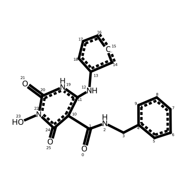 O=C(NCc1ccccc1)c1c(Nc2ccccc2)[nH]c(=O)n(O)c1=O